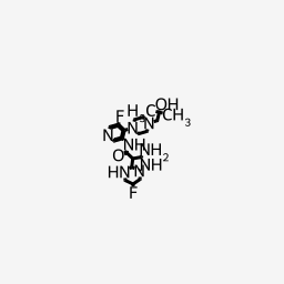 CC(C)(O)CN1CCN(c2c(F)cncc2NC(=O)C2C(N)NN3CC(F)CNC23)CC1